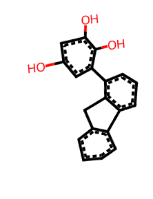 Oc1cc(O)c(O)c(-c2cccc3c2Cc2ccccc2-3)c1